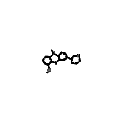 COc1cccc2c1Sc1cc(-c3cccnc3)ccc1N2C